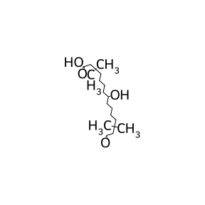 CC(C)(CC=O)CCCCC(O)CCCCC(C)(C)CC(=O)O